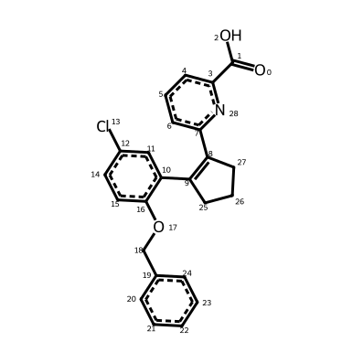 O=C(O)c1cccc(C2=C(c3cc(Cl)ccc3OCc3ccccc3)CCC2)n1